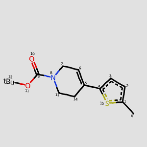 Cc1ccc(C2=CCN(C(=O)OC(C)(C)C)CC2)s1